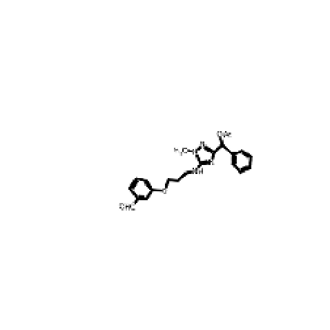 CC(=O)OC(c1ccccc1)c1nc(NCCCOc2cccc(C=O)c2)n(C)n1